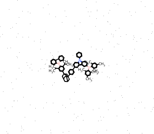 Cc1cc(C)c(B(c2ccc3c(c2)c2cc(-c4ccc(C56CC7CC(C5)CC(c5cc(C(C)C)c(B8c9ccccc9-c9ccccc98)c(C(C)C)c5)(C7)C6)cc4)ccc2n3-c2ccccc2)c2c(C)cc(C)cc2C)c(C)c1